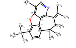 C=C1C(=C(C)C)c2ncc(C)c3oc4c([Si](C)(C)C)ccc(c4c23)C1(C)C